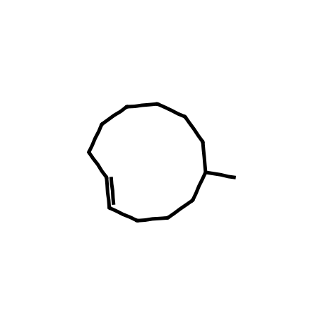 CC1CCC/C=C/CCCCCC1